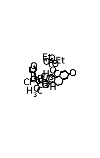 CCOP(=O)(CO[C@H]1C[C@@]2(C)[C@@H](C[C@@H](C)[C@]2(OC(=O)c2ccoc2)C(=O)CCl)[C@@H]2CCC3=CC(=O)C=C[C@]3(C)[C@@]12C)OCC